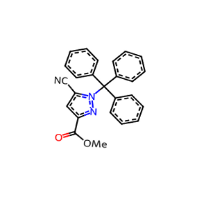 COC(=O)c1cc(C#N)n(C(c2ccccc2)(c2ccccc2)c2ccccc2)n1